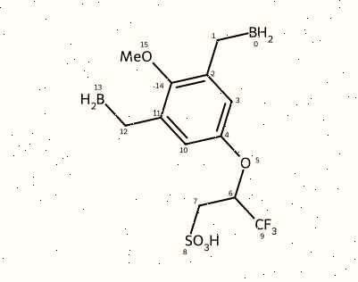 BCc1cc(OC(CS(=O)(=O)O)C(F)(F)F)cc(CB)c1OC